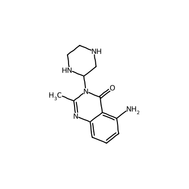 Cc1nc2cccc(N)c2c(=O)n1C1CNCCN1